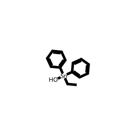 C[CH2][Sn]([OH])([c]1ccccc1)[c]1ccccc1